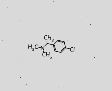 C[C@H](c1ccc(Cl)cc1)N(C)C